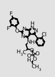 CCOP(=O)(O)OC(C)CNc1nc(Oc2ccc(F)cc2F)nc2[nH]nc(-c3ccccc3Cl)c12